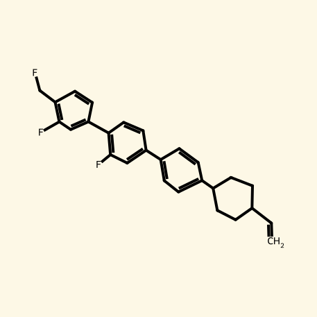 C=CC1CCC(c2ccc(-c3ccc(-c4ccc(CF)c(F)c4)c(F)c3)cc2)CC1